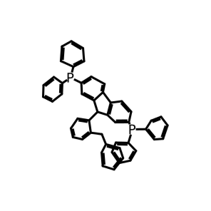 c1ccc(Cc2ccccc2C2c3cc(P(c4ccccc4)c4ccccc4)ccc3-c3ccc(P(c4ccccc4)c4ccccc4)cc32)cc1